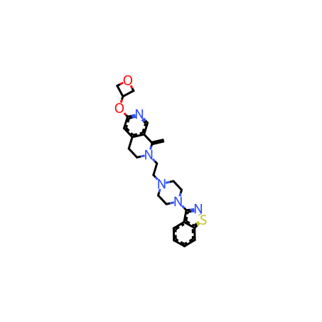 C=C1c2cnc(OC3COC3)cc2CCN1CCN1CCN(c2nsc3ccccc23)CC1